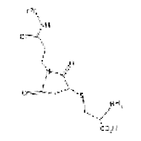 CCCNC(=O)CCN1C(=O)CC(SCC(N)C(=O)O)C1=O